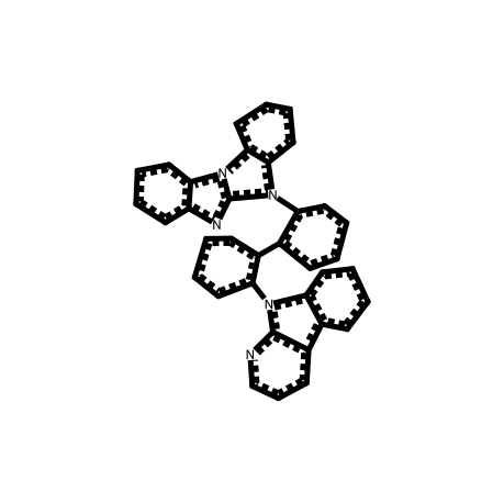 c1ccc(-n2c3ccccc3c3cccnc32)c(-c2ccccc2-n2c3ccccc3n3c4ccccc4nc23)c1